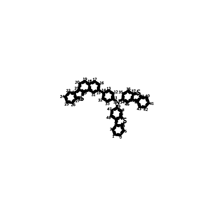 c1ccc2c(c1)sc1cc(N(c3ccc(-c4ccc5ccc6c7ccccc7sc6c5c4)cc3)c3ccc4sc5ccccc5c4c3)ccc12